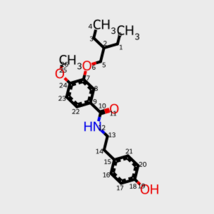 CCC(CC)COc1cc(C(=O)NCCc2ccc(O)cc2)ccc1OC